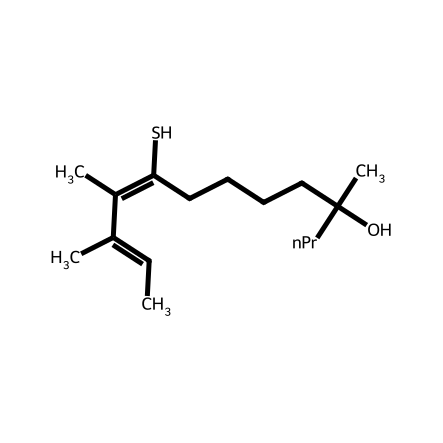 CC=C(C)/C(C)=C(/S)CCCCC(C)(O)CCC